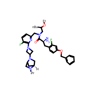 CCCCC(CN(Cc1ccc(F)c(N2CC(N3C[C@@H]4CC3CN4C(C)C)C2)n1)C(=O)[C@@H](N)Cc1ccc(OCc2ccccc2)cc1F)OCC